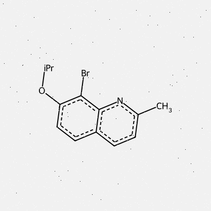 Cc1ccc2ccc(OC(C)C)c(Br)c2n1